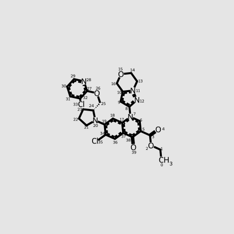 CCOC(=O)c1cn(-c2cc3n(n2)CCOC3)c2cc(N3CCC[C@@H]3COc3ncccc3Cl)c(Cl)cc2c1=O